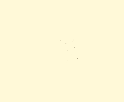 NS(=O)(=O)O[PH](=O)Oc1ccccc1